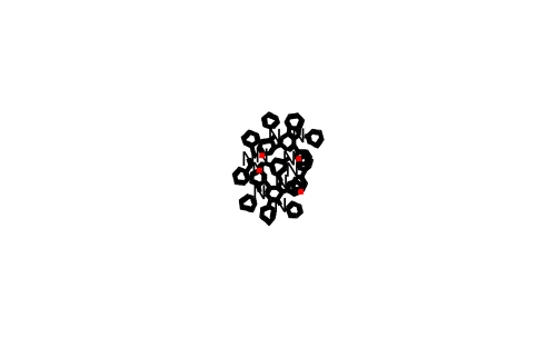 c1ccc(-c2nc(-c3ccccc3)nc(-c3cc(-n4c5ccccc5c5c6c(c7ccccc7n6-c6ccccc6)c6c(c7ccccc7n6-c6ccccc6)c54)c(-n4c5ccccc5c5ccccc54)c(-n4c5ccccc5c5c6c(c7ccccc7n6-c6ccccc6)c6c(c7ccccc7n6-c6ccccc6)c54)c3)n2)cc1